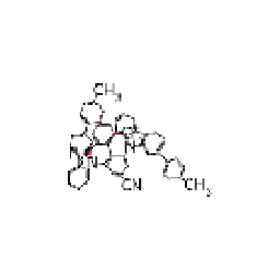 Cc1ccc(-c2ccc3c4ccccc4n(-c4cc(C#N)cc(-n5c6ccccc6c6ccc(-c7ccc(C)cc7)cc65)c4-c4c(C(F)(F)F)cccc4C(F)(F)F)c3c2)cc1